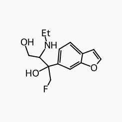 CCNC(CO)C(O)(CF)c1ccc2ccoc2c1